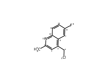 Cc1cc(CCl)c2cc(F)ccc2n1